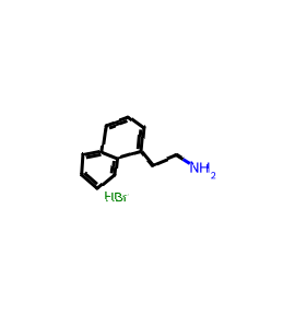 Br.NCCc1cccc2ccccc12